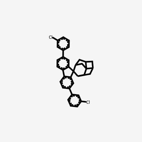 Clc1cccc(-c2ccc3c(c2)C2(c4cc(-c5cccc(Cl)c5)ccc4-3)C3CC4CC5CC2CC45C3)c1